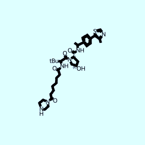 Cc1ncsc1-c1ccc(C(C)NC(=O)[C@@H]2C[C@@H](O)CN2C(=O)C(NC(=O)CCCCCCC(=O)N2CCNCC2)C(C)(C)C)cc1